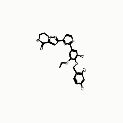 CCOc1cc(-c2nccc(-c3cc4n(n3)CCNC4=O)n2)cc(Cl)c1OCc1ccc(Cl)cc1Cl